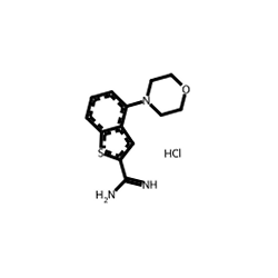 Cl.N=C(N)c1cc2c(N3CCOCC3)cccc2s1